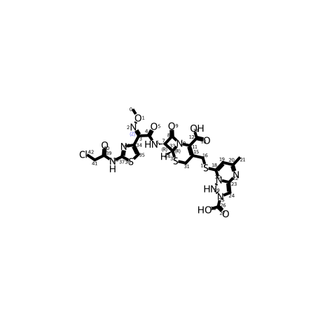 CO/N=C(\C(=O)N[C@@H]1C(=O)N2C(C(=O)O)=C(CSC3=CC(C)=NC4=CN(C(=O)O)NN43)CS[C@H]12)c1csc(NC(=O)CCl)n1